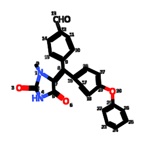 CN1C(=O)NC(=O)C1=C(c1ccc(C=O)cc1)c1ccc(Oc2ccccc2)cc1